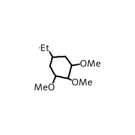 C[CH]C1CC(OC)C(OC)C(OC)C1